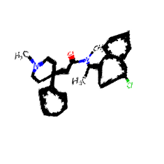 CC(c1cc(Cl)cc2ccccc12)N(C)C(=O)CC1(c2ccccc2)CCN(C)CC1